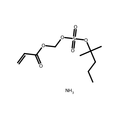 C=CC(=O)OCOS(=O)(=O)OC(C)(C)CCC.N